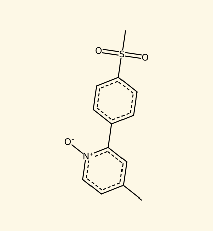 Cc1cc[n+]([O-])c(-c2ccc(S(C)(=O)=O)cc2)c1